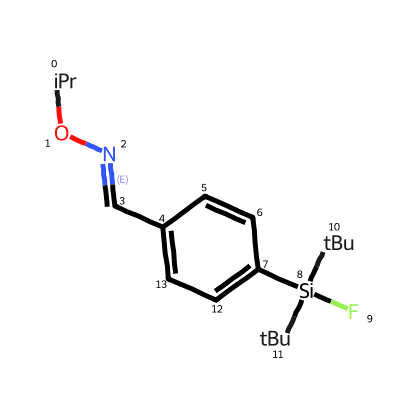 CC(C)O/N=C/c1ccc([Si](F)(C(C)(C)C)C(C)(C)C)cc1